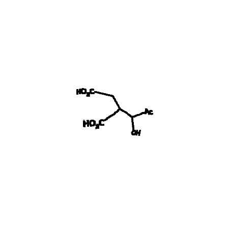 CC(=O)C(O)C(CC(=O)O)C(=O)O